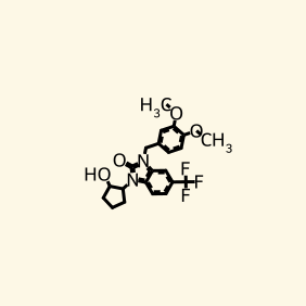 COc1ccc(Cn2c(=O)n(C3CCCC3O)c3ccc(C(F)(F)F)cc32)cc1OC